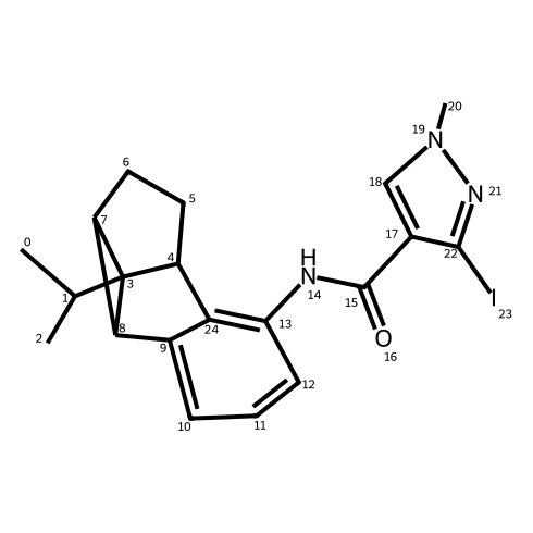 CC(C)C12C3CCC1C2c1cccc(NC(=O)c2cn(C)nc2I)c13